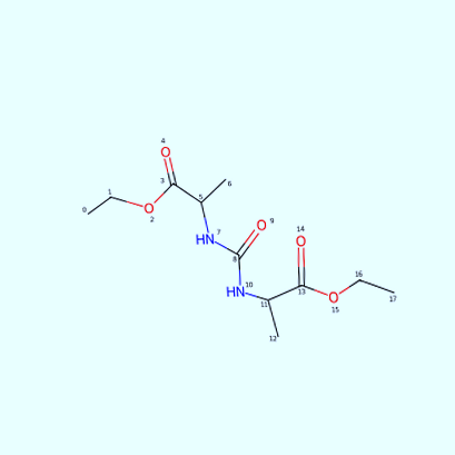 CCOC(=O)C(C)NC(=O)NC(C)C(=O)OCC